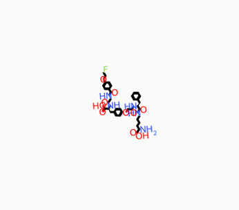 NC(CCCCNC(=O)[C@H](Cc1ccccc1)NC(=O)COc1ccc(C[C@H](NC(=O)CNC(=O)c2ccc(OCCF)cc2)C(=O)O)cc1)C(=O)O